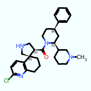 CN1CCCC([C@@H]2C[C@H](c3ccccc3)CCN2C(=O)[C@@H]2CNC[C@]23CCCc2nc(Cl)ccc23)C1